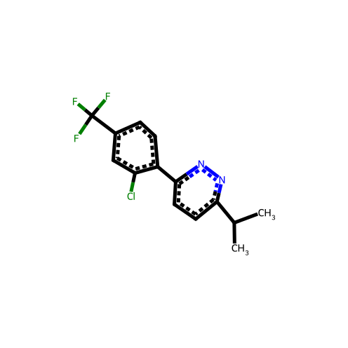 CC(C)c1ccc(-c2ccc(C(F)(F)F)cc2Cl)nn1